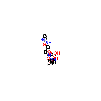 COc1c(CN2O[C@@H](CO)[C@@H]([C@H](C)O)[C@H]2C(=O)N[C@@H]2C[C@H]3C[C@@H]([C@@H]2C)C3(C)C)cccc1-c1cccc(C(=O)N[C@@H](Cc2ccccc2)CN(C)C)c1